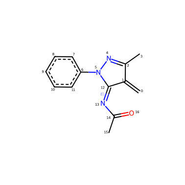 C=C1C(C)=NN(c2ccccc2)/C1=N/C(C)=O